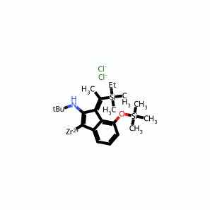 CC[Si](C)(C)C(C)=C1C(NC(C)(C)C)=[C]([Zr+2])c2cccc(O[Si](C)(C)C)c21.[Cl-].[Cl-]